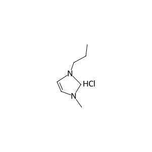 CCCN1C=CN(C)C1.Cl